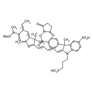 C=C1N=C(/C=C/C=C/C=C2/N(CCCS(=O)(=O)O)c3ccc(S(=O)(=O)O)cc3C2(C)c2ccc(C(=O)ON3C(=O)CCC3=O)cc2)C(C)(C)/C1=C/C(=C\C)C(=O)N(C)OC